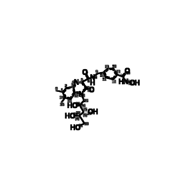 Cc1cc2nc(C(=O)NCc3ccc(C(=O)NO)cc3)c(=O)n(C[C@H](O)[C@H](O)[C@H](O)CO)c2cc1C